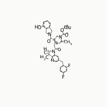 C[C@@H]1CN(CC(=O)N2CC(C)(C)c3ncc(Cc4ccc(F)cc4F)cc32)[C@H](C(=O)N2Cc3cccc(O)c3C2)CN1C(=O)OC(C)(C)C